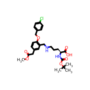 COC(=O)Cc1ccc(OCc2ccc(Cl)cc2)c(CNCCC[C@H](NC(=O)OC(C)(C)C)C(=O)O)c1